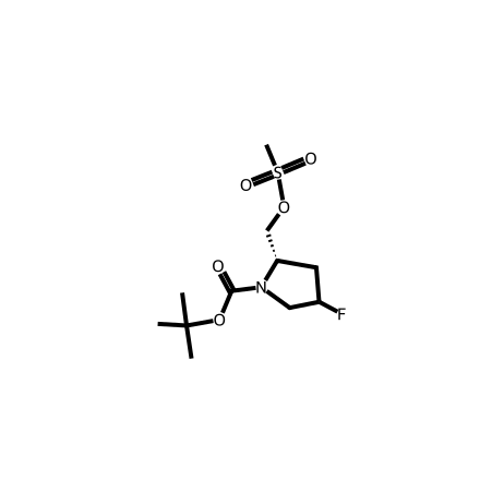 CC(C)(C)OC(=O)N1CC(F)C[C@H]1COS(C)(=O)=O